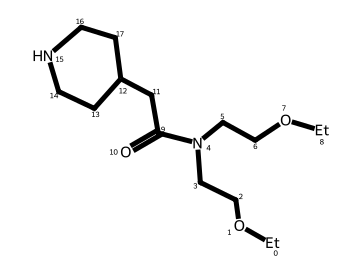 CCOCCN(CCOCC)C(=O)CC1CCNCC1